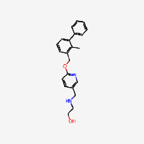 Cc1c(COc2ccc(CNCCO)cn2)cccc1-c1ccccc1